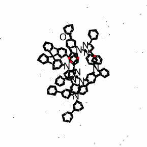 c1ccc(-c2ccc(N(c3ccc4c(c3)C3(c5ccccc5-c5ccc(-c6cccc(-c7cc(-c8ccccc8)nc(-n8c9cc(N(c%10ccc(-c%11ccccc%11)cc%10)c%10cccc(-c%11ccccc%11)c%10)ccc9c9cc%10c%11ccccc%11n(-c%11ccccc%11)c%10cc98)n7)c6)cc53)c3ccccc3-4)c3ccc4c(c3)c3cc5oc6ccccc6c5cc3n4-c3nc(-c4ccccc4)cc(-c4ccccc4)n3)cc2)cc1